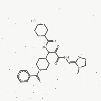 CN1CCSC1=NNC(=O)C(=O)C(NC(=O)C1CCCCC1)C1CCN(C(=O)c2ccccc2)CC1.Cl